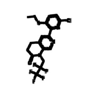 CCSc1ccc(Cl)nc1-c1cc2c(cn1)N(CC(F)(F)C(F)(F)F)C(=O)CC2